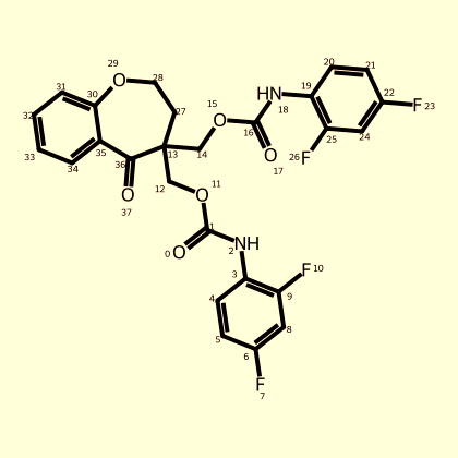 O=C(Nc1ccc(F)cc1F)OCC1(COC(=O)Nc2ccc(F)cc2F)CCOc2ccccc2C1=O